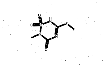 CSC1=NC(=O)N(C)S(=O)(=O)N1